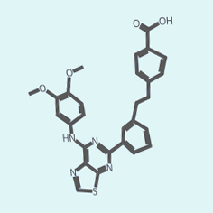 COc1ccc(Nc2nc(-c3cccc(CCc4ccc(C(=O)O)cc4)c3)nc3scnc23)cc1OC